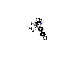 CC(=N)/C=C\NC1=CC=C(c2ccc(Cl)cc2)CC1C